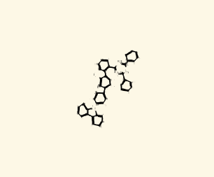 c1ccc(-c2nc(-c3ccccc3)nc(-c3cccc4oc5c(ccc6c7ccc(-n8c9ccccc9c9ccccc98)cc7oc65)c34)n2)cc1